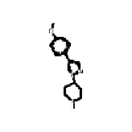 COc1ccc(-c2cnn(C3CCNCC3)c2)cc1